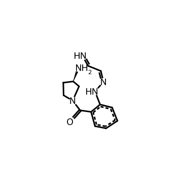 N=C/C=N\Nc1ccccc1C(=O)N1CC[C@@H](N)C1